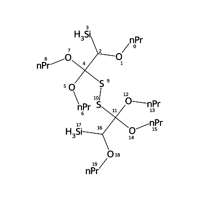 CCCOC([SiH3])C(OCCC)(OCCC)SSC(OCCC)(OCCC)C([SiH3])OCCC